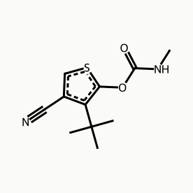 CNC(=O)Oc1scc(C#N)c1C(C)(C)C